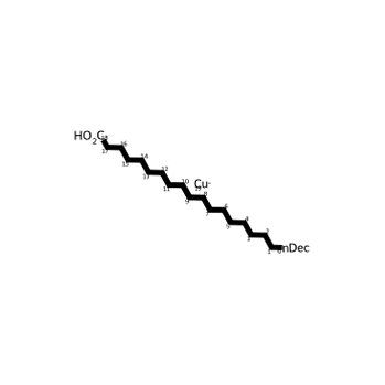 CCCCCCCCCCCCCCCCCCCCCCCCCCCC(=O)O.[Cu]